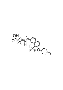 CCC1CCC(Oc2ccc3ccc([C@H](C)N[C@H]4C[C@H](C(=O)O)C4(C)C)cc3c2C(F)(F)F)CC1